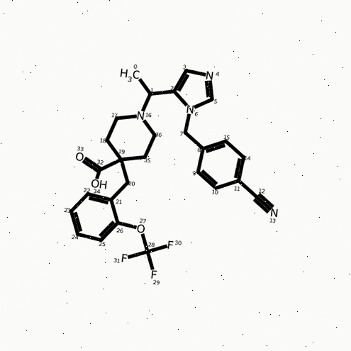 CC(c1cncn1Cc1ccc(C#N)cc1)N1CCC(Cc2ccccc2OC(F)(F)F)(C(=O)O)CC1